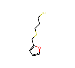 SCCCSCc1ccco1